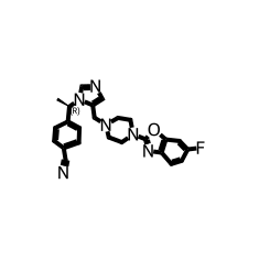 C[C@H](c1ccc(C#N)cc1)n1cncc1CN1CCN(c2nc3ccc(F)cc3o2)CC1